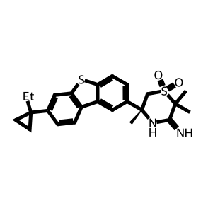 CCC1(c2ccc3c(c2)sc2ccc([C@]4(C)CS(=O)(=O)C(C)(C)C(=N)N4)cc23)CC1